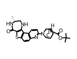 C[C@@H]1CNc2c(sc3ccc4nc(N5C[C@H]6CCC5CN6C(=O)OC(C)(C)C)ccc4c23)C(=O)N1